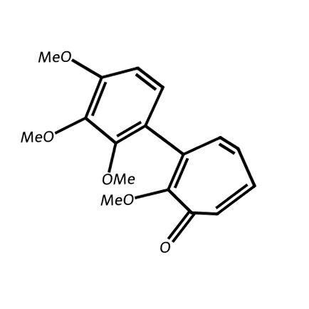 COc1ccc(-c2ccccc(=O)c2OC)c(OC)c1OC